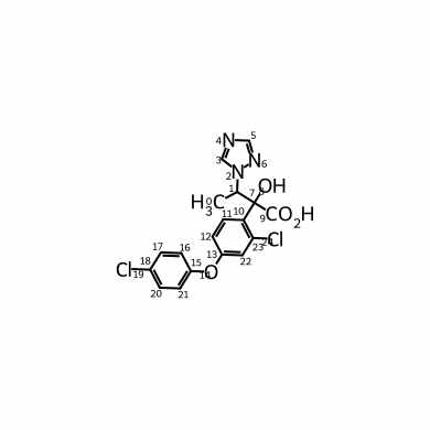 CC(n1cncn1)C(O)(C(=O)O)c1ccc(Oc2ccc(Cl)cc2)cc1Cl